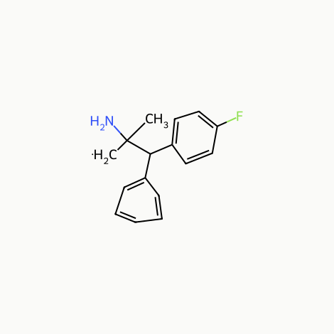 [CH2]C(C)(N)C(c1ccccc1)c1ccc(F)cc1